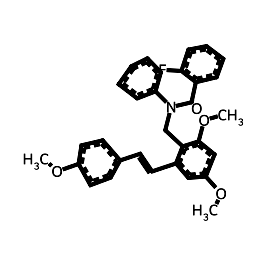 COc1ccc(C=Cc2cc(OC)cc(OC)c2CN(C(=O)c2ccccc2F)c2ccccc2)cc1